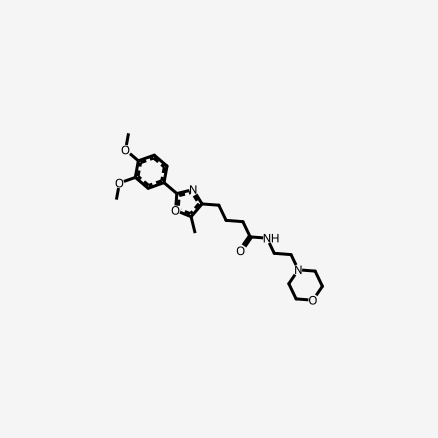 COc1ccc(-c2nc(CCCC(=O)NCCN3CCOCC3)c(C)o2)cc1OC